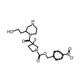 O=C(OCc1ccc([N+](=O)[O-])cc1)N1CCC([S])(C(=O)N2CCNCC2CCO)C1